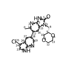 Cc1nc2[nH]c(=O)n(C[C@H]3COCCO3)c2cc1-c1cnc2[nH]cc(Cl)c2c1